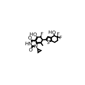 CC1=c2c(c(=O)[nH]c(=O)n2C2CC2)=C(O)C(F)C1c1cc2c(s1)CCC(F)(F)C2O